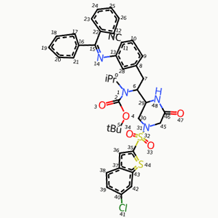 CC(C)N(C(=O)OC(C)(C)C)C(Cc1ccc(C#N)c(N=C(c2ccccc2)c2ccccc2)c1)C1CN(S(=O)(=O)c2cc3ccc(Cl)cc3s2)CC(=O)N1